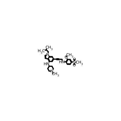 COc1cc(S(C)(=O)=O)ccc1NCC#Cc1cc(NC2CCN(C)CC2)c2ccn(CC(C)C)c2c1